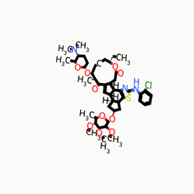 CC[C@H]1CCC[C@H](O[C@H]2CC[C@H](N(C)C)C(C)O2)[C@@H](C)C(=O)C2=C[C@@H]3C(c4nc(Nc5ccccc5Cl)sc4C4C[C@@H](O[C@@H]5OC(C)[C@H](OC)C(OC)C5OC)C[C@H]43)[C@@H]2CC(=O)O1